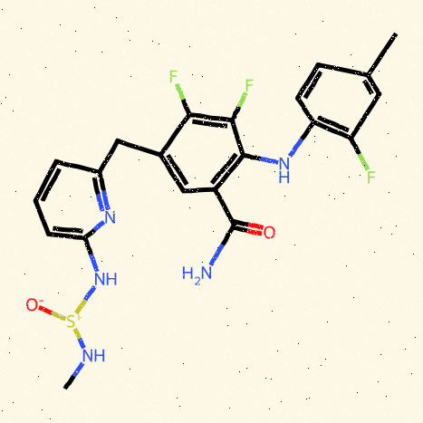 CN[S+]([O-])Nc1cccc(Cc2cc(C(N)=O)c(Nc3ccc(C)cc3F)c(F)c2F)n1